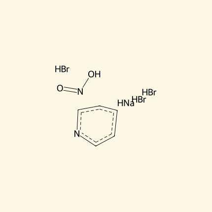 Br.Br.Br.O=NO.[NaH].c1ccncc1